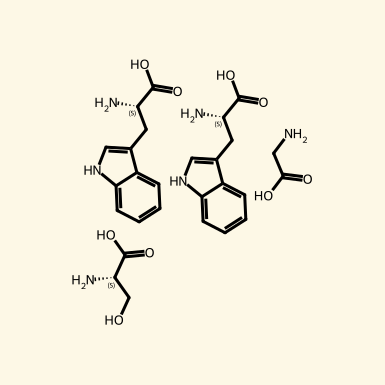 NCC(=O)O.N[C@@H](CO)C(=O)O.N[C@@H](Cc1c[nH]c2ccccc12)C(=O)O.N[C@@H](Cc1c[nH]c2ccccc12)C(=O)O